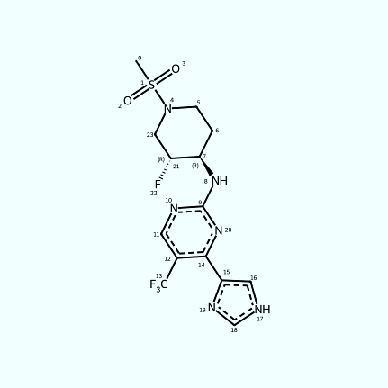 CS(=O)(=O)N1CC[C@@H](Nc2ncc(C(F)(F)F)c(-c3c[nH]cn3)n2)[C@H](F)C1